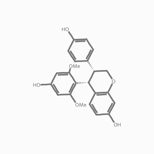 COc1cc(O)cc(OC)c1[C@H]1c2ccc(O)cc2OC[C@H]1c1ccc(O)cc1